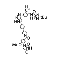 COc1ccc(C(=O)N2CCC(c3ccc(-c4cc5c(-c6ccc(CNC(=O)c7nc(C(C)(C)C)no7)c(C)c6)ncnc5[nH]4)cc3)CC2)cc1N1CCC(=O)NC1=O